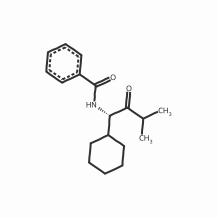 CC(C)C(=O)[C@@H](NC(=O)c1ccccc1)C1CCCCC1